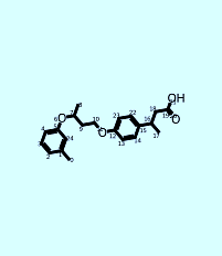 Cc1cccc(OC(C)CCOc2ccc(C(C)CC(=O)O)cc2)c1